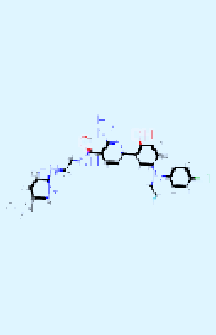 Nc1nc(-c2cc(N(CCF)c3ccc(Cl)cc3)ccc2O)ccc1C(=O)NCCNc1ccc([N+](=O)[O-])cn1